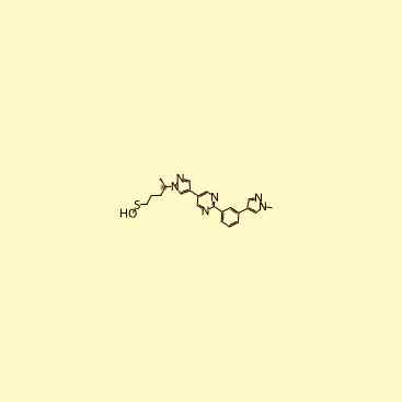 C[C@H](CCCSO)n1cc(-c2cnc(-c3cccc(-c4cnn(C)c4)c3)nc2)cn1